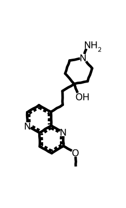 COc1ccc2nccc(CCC3(O)CCN(N)CC3)c2n1